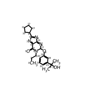 CCCN1C(=O)C2=NC(C3CCCC3)=NC2=NC1Oc1cccc(C(C)(C)O)c1